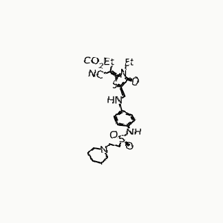 CCOC(=O)C(C#N)=c1sc(=CNc2ccc(NS(=O)(=O)CCN3CCCCC3)cc2)c(=O)n1CC